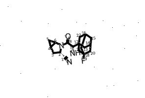 N#C[C@@H]1CC2CC2N1C(=O)[C@@H](N)C12CC3CC(CC(F)(C3)C1)C2